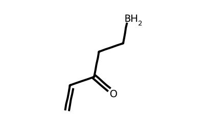 BCCC(=O)C=C